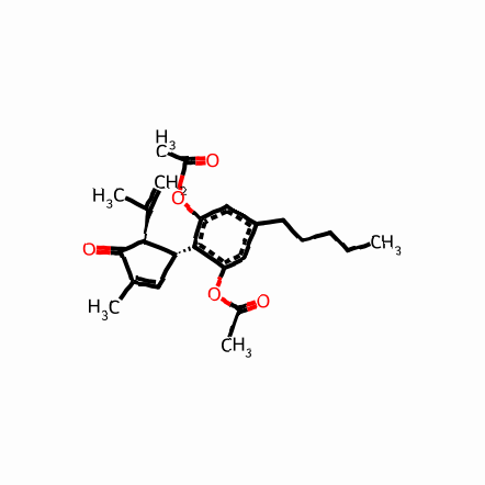 C=C(C)[C@@H]1C(=O)C(C)=C[C@H]1c1c(OC(C)=O)cc(CCCCC)cc1OC(C)=O